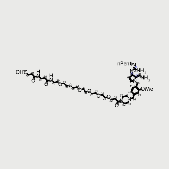 CCCCC\N=C(N)/N=C1/C=CN(Cc2ccc(CN3CCN(C(=O)CCOCCOCCOCCOCCOCCOCCNC(=O)CCNC(=O)CCC=O)CC3)cc2OC)/C1=C\N